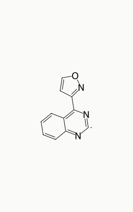 [c]1nc(-c2ccon2)c2ccccc2n1